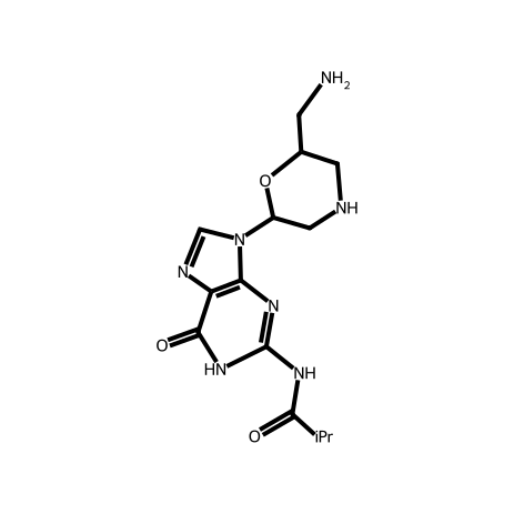 CC(C)C(=O)Nc1nc2c(ncn2C2CNCC(CN)O2)c(=O)[nH]1